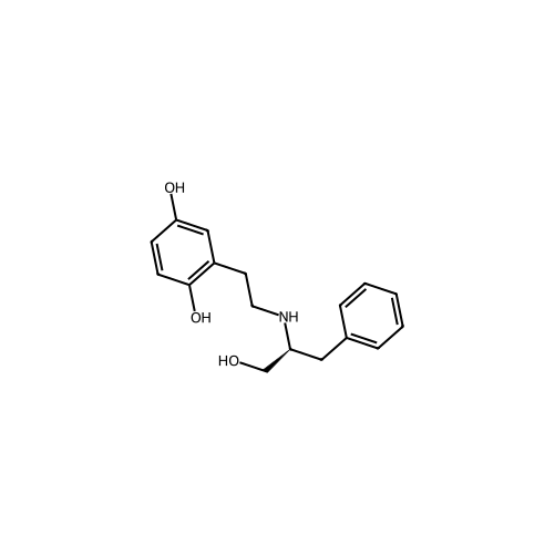 OC[C@H](Cc1ccccc1)NCCc1cc(O)ccc1O